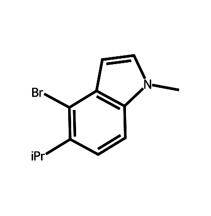 CC(C)c1ccc2c(ccn2C)c1Br